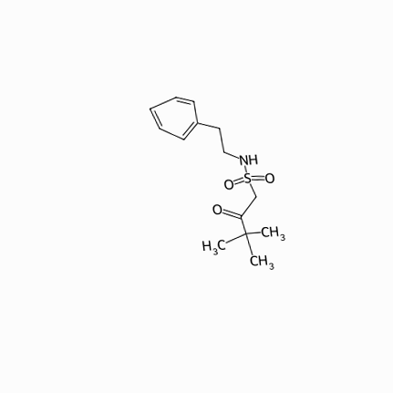 CC(C)(C)C(=O)CS(=O)(=O)NCCc1ccccc1